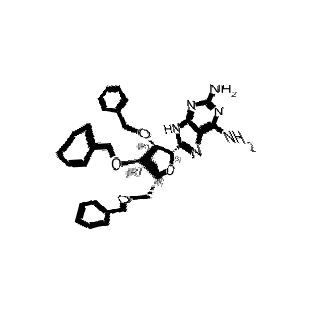 Nc1nc(N)c2nc([C@@H]3O[C@H](COCc4ccccc4)[C@@H](OCc4ccccc4)[C@@H]3OCc3ccccc3)[nH]c2n1